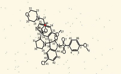 COc1ccc(S(=O)(=O)N2C(=O)C(c3ccc(CN4CCOCC4)cc3OC)(N3CCCC3c3ncco3)c3cc(Cl)ccc32)cc1